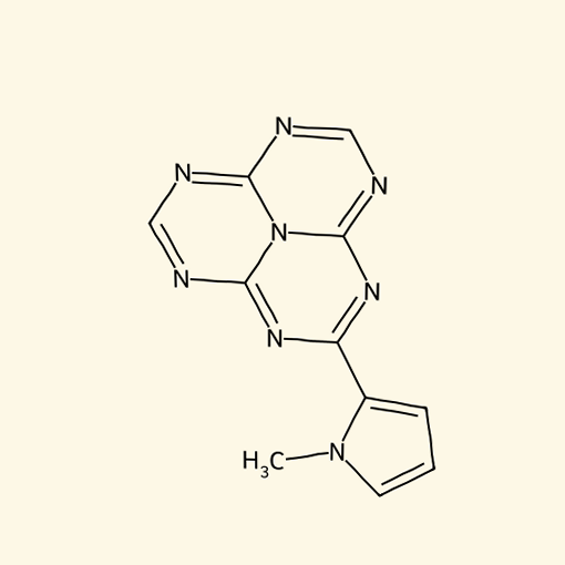 Cn1cccc1C1=NC2=NC=NC3=NC=NC(=N1)N32